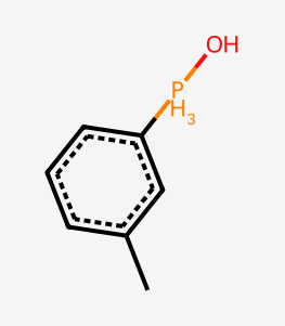 Cc1cccc([PH3]O)c1